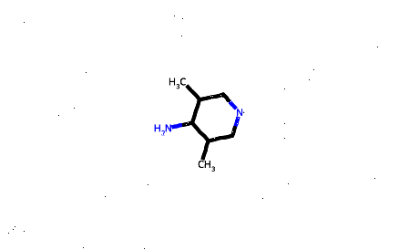 CC1C[N]CC(C)C1N